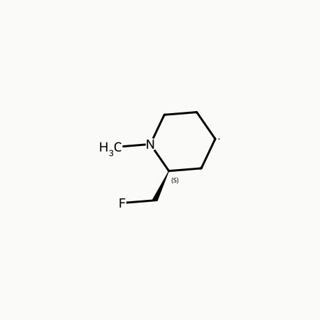 CN1CC[CH]C[C@H]1CF